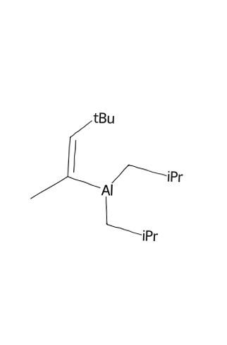 C/[C](=C/C(C)(C)C)[Al]([CH2]C(C)C)[CH2]C(C)C